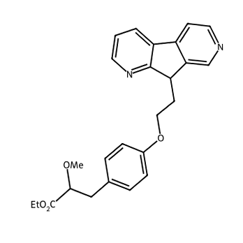 CCOC(=O)C(Cc1ccc(OCCC2c3cnccc3-c3cccnc32)cc1)OC